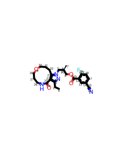 CCc1nn(C[C@@H](C)COC(=O)c2cc(C#N)ccc2F)c2c1C(=O)NCCCOCCC2